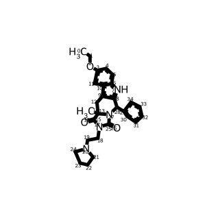 CCOc1ccc2[nH]c3c(c2c1)CC1(C)C(=O)N(CCN2CCCC2)C(=O)N1C3c1ccccc1